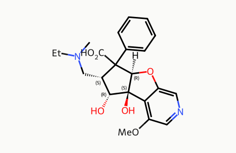 CCN(C)C[C@H]1[C@@H](O)[C@@]2(O)c3c(OC)cncc3O[C@@H]2C1(C(=O)O)c1ccccc1